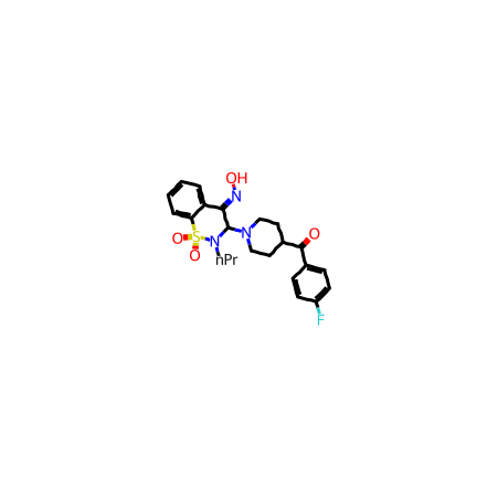 CCCN1C(N2CCC(C(=O)c3ccc(F)cc3)CC2)C(=NO)c2ccccc2S1(=O)=O